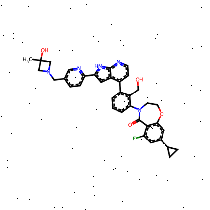 CC1(O)CN(Cc2ccc(-c3cc4c(-c5cccc(N6CCOc7cc(C8CC8)cc(F)c7C6=O)c5CO)ccnc4[nH]3)nc2)C1